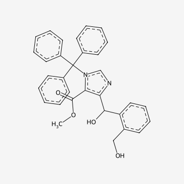 COC(=O)c1c(C(O)c2ccccc2CO)ncn1C(c1ccccc1)(c1ccccc1)c1ccccc1